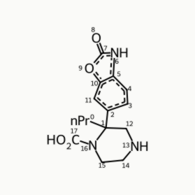 CCCC1(c2ccc3[nH]c(=O)oc3c2)CNCCN1C(=O)O